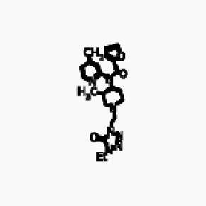 CCn1nnn(CCN2CCC(N(C(=O)c3ccco3)c3cc(C)ccn3)C(C)C2)c1=O